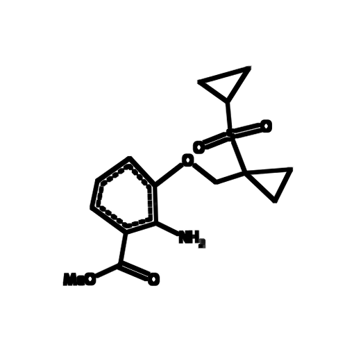 COC(=O)c1cccc(OCC2(S(=O)(=O)C3CC3)CC2)c1N